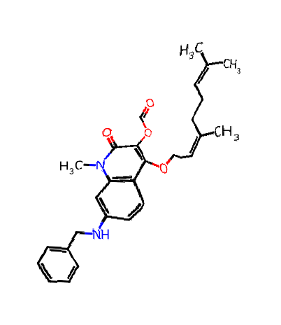 CC(C)=CCCC(C)=CCOc1c(OC=O)c(=O)n(C)c2cc(NCc3ccccc3)ccc12